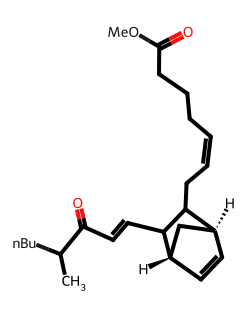 CCCCC(C)C(=O)C=CC1C(C/C=C\CCCC(=O)OC)[C@H]2C=C[C@H]1C2